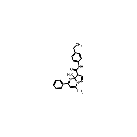 CCc1ccc(NC(=O)C2C=NN3C(C)=CC(c4ccccc4)=NC23C)cc1